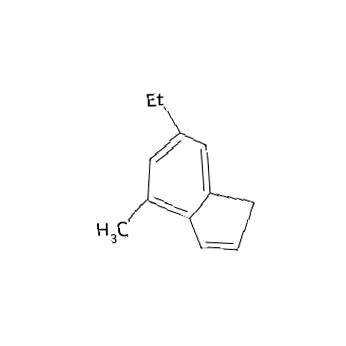 CCc1cc(C)c2c(c1)CC=C2